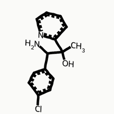 CC(O)(c1ccccn1)C(N)c1ccc(Cl)cc1